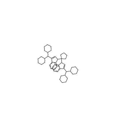 C1=C(C(C2CCCCC2)C2CCCCC2)c2ccccc2C1C1(C2C=C(C(C3CCCCC3)C3CCCCC3)c3ccccc32)CCCC1